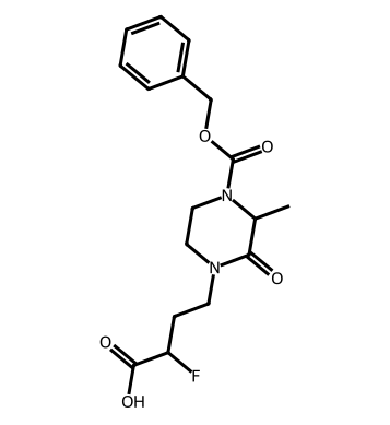 CC1C(=O)N(CCC(F)C(=O)O)CCN1C(=O)OCc1ccccc1